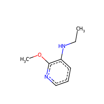 CCNc1cccnc1OC